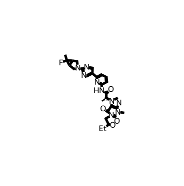 CCC(=O)Cn1c(=O)c2c(ncn2[C@@H](C)C(=O)Nc2cccc(-c3cnc(N4CC5C(C4)C5(C)F)nc3)n2)n(C)c1=O